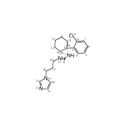 CN[C@@]1(c2ccccc2Cl)CCCC[C@H]1NCCCn1ccnc1